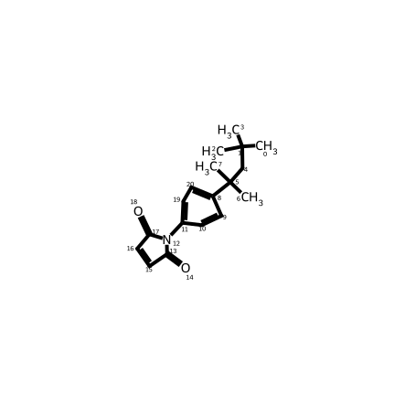 CC(C)(C)CC(C)(C)c1ccc(N2C(=O)C=CC2=O)cc1